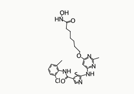 Cc1nc(Nc2ncc(C(=O)Nc3c(C)cccc3Cl)s2)cc(OCCCCCCC(=O)NO)n1